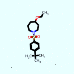 CCOC1CCCN(S(=O)(=O)c2ccc(C(C)(C)C)cc2)CC1